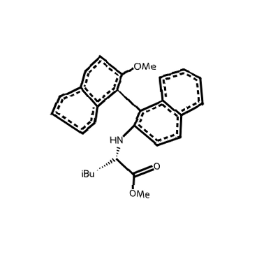 CC[C@@H](C)[C@H](Nc1ccc2ccccc2c1-c1c(OC)ccc2ccccc12)C(=O)OC